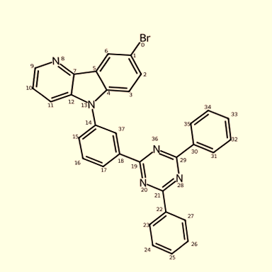 Brc1ccc2c(c1)c1ncccc1n2-c1cccc(-c2nc(-c3ccccc3)nc(-c3ccccc3)n2)c1